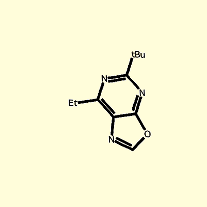 CCc1nc(C(C)(C)C)nc2ocnc12